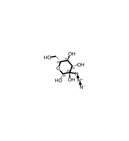 [N-]=[N+]=N[C@]1(O)[C@H](O)O[C@H](CO)[C@@H](O)[C@@H]1O